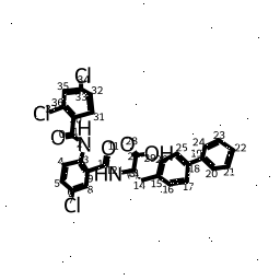 O=C(Nc1ccc(Cl)cc1C(=O)N[C@@H](Cc1ccc(-c2ccccc2)cc1)C(=O)O)c1ccc(Cl)cc1Cl